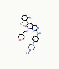 CC(C)N1CCN(c2ccc(Nc3ncc4cc(-c5c(Cl)cccc5Cl)c(=O)n(OCC5CCOCC5)c4n3)cc2)CC1